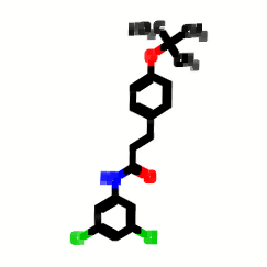 CC(C)(Oc1ccc(CCC(=O)Nc2cc(Cl)cc(Cl)c2)cc1)C(=O)O